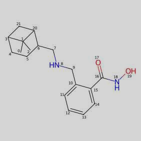 CC1(C)C2CCC(CNCc3ccccc3C(=O)NO)C1C2